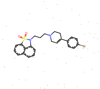 O=S1(=O)c2cccc3cccc(c23)N1CCCN1CC=C(c2ccc(Br)cc2)CC1